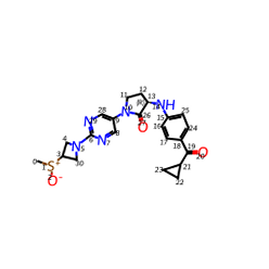 C[S+]([O-])C1CN(c2ncc(N3CC[C@@H](Nc4ccc(C(=O)C5CC5)cc4)C3=O)cn2)C1